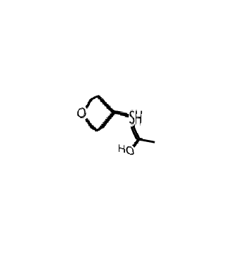 CC(O)=[SH]C1COC1